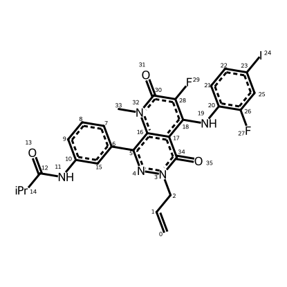 C=CCn1nc(-c2cccc(NC(=O)C(C)C)c2)c2c(c(Nc3ccc(I)cc3F)c(F)c(=O)n2C)c1=O